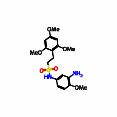 COc1cc(OC)c(CCS(=O)(=O)Nc2ccc(OC)c(N)c2)c(OC)c1